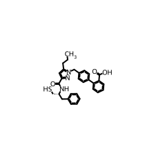 CCCc1cc(C(=O)N[C@@H](CS)Cc2ccccc2)nn1Cc1ccc(-c2ccccc2C(=O)O)cc1